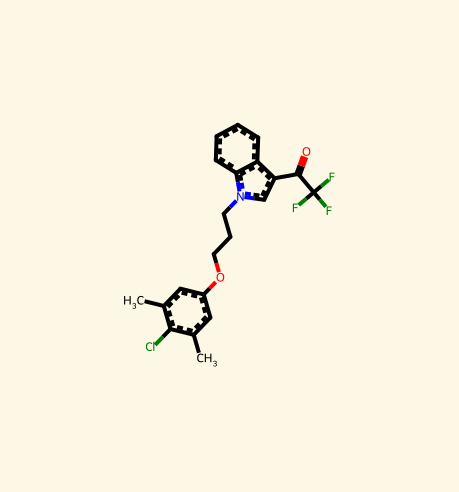 Cc1cc(OCCCn2cc(C(=O)C(F)(F)F)c3ccccc32)cc(C)c1Cl